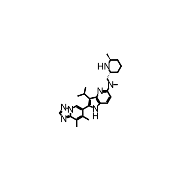 Cc1c(-c2[nH]c3ccc(N(C)C[C@H]4CCC[C@H](C)N4)nc3c2C(C)C)cn2ncnc2c1C